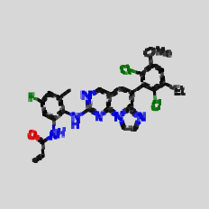 C=CC(=O)Nc1cc(F)cc(C)c1Nc1ncc2cc(-c3c(Cl)c(CC)cc(OC)c3Cl)c3nccn3c2n1